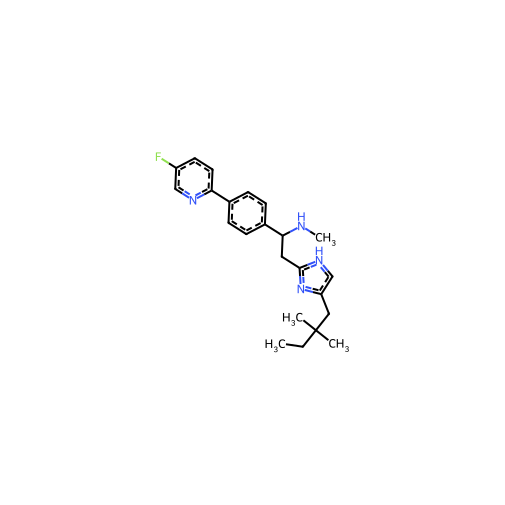 CCC(C)(C)Cc1c[nH]c(CC(NC)c2ccc(-c3ccc(F)cn3)cc2)n1